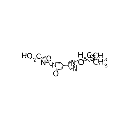 C[Si](C)(C)CCOCn1cc(-c2ccn(Cc3nc(C(=O)O)co3)c(=O)c2)cn1